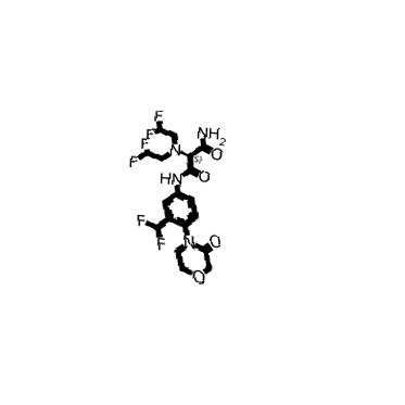 NC(=O)[C@@H](C(=O)Nc1ccc(N2CCOCC2=O)c(C(F)F)c1)N(CC(F)F)CC(F)F